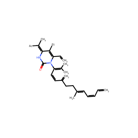 C=C/C=C\C=C(/C)CCC(=C)/C=C\C(=C(C)C)N1C(=O)N/C(=C(/C)C(C)=O)C(CC)=C1C=C